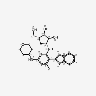 Cc1nc(NC2CCOCC2)nc(N[C@@H]2C[C@H](CO)[C@@H](O)[C@H]2O)c1-c1nc2ccccc2s1